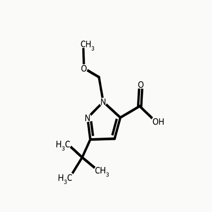 COCn1nc(C(C)(C)C)cc1C(=O)O